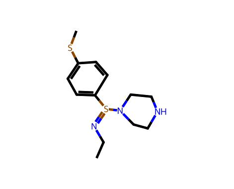 CC/N=S(/c1ccc(SC)cc1)N1CCNCC1